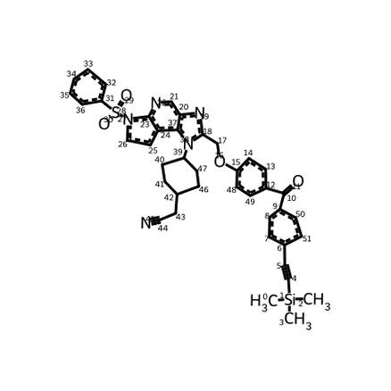 C[Si](C)(C)C#Cc1ccc(C(=O)c2ccc(OCc3nc4cnc5c(ccn5S(=O)(=O)c5ccccc5)c4n3C3CCC(CC#N)CC3)cc2)cc1